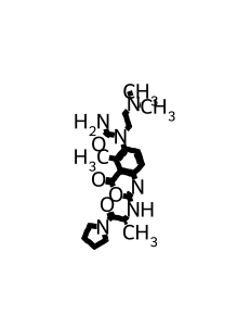 Cc1c(N(CCN(C)C)C(N)=O)ccc2nc(N[C@@H](C)C(=O)N3CCCC3)oc(=O)c12